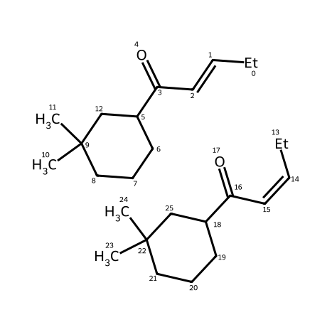 CC/C=C/C(=O)C1CCCC(C)(C)C1.CC/C=C\C(=O)C1CCCC(C)(C)C1